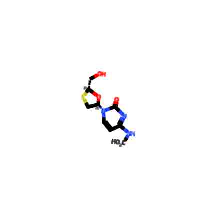 O=C(O)Nc1ccn([C@@H]2CS[C@H](CO)O2)c(=O)n1